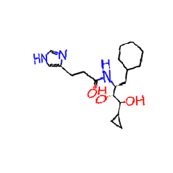 O=C(CCc1c[nH]cn1)N[C@@H](CC1CCCCC1)[C@@H](O)[C@@H](O)C1CC1